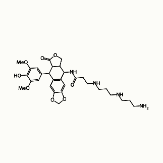 COc1cc(C2c3cc4c(cc3C(NC(=O)CCNCCCNCCCN)C3COC(=O)C23)OCO4)cc(OC)c1O